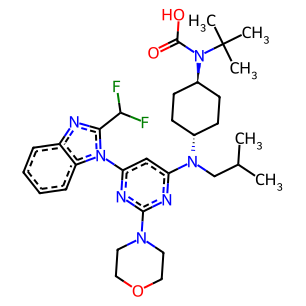 CC(C)CN(c1cc(-n2c(C(F)F)nc3ccccc32)nc(N2CCOCC2)n1)[C@H]1CC[C@H](N(C(=O)O)C(C)(C)C)CC1